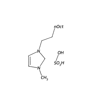 CCCCCCCCCCN1C=CN(C)C1.O=S(=O)(O)O